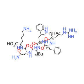 CC[C@H](C)[C@H](NC(=O)[C@H](Cc1c[nH]c2ccccc12)NC(=O)[C@H](Cc1ccccc1)NC(=O)[C@H](CCCNC(=N)N)NC(C)=O)C(=O)N[C@@H](CC(N)=O)C(=O)N[C@@H](CCCCN)C(=O)O